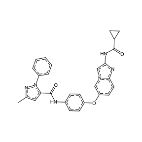 Cc1cc(C(=O)Nc2ccc(Oc3ccc4nc(NC(=O)C5CC5)cn4c3)cc2)n(-c2ccccc2)n1